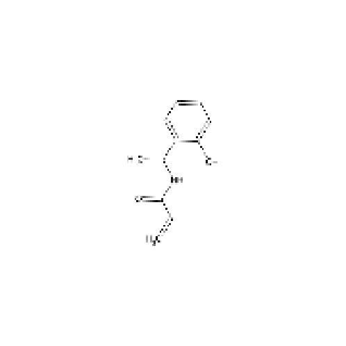 C=CC(=O)NC(C)c1ccccc1O